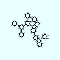 c1ccc(-c2nc(-c3ccccc3)nc(-c3cc(-n4c5ccccc5c5cc(-c6ccc7c8ccccc8n(-c8ccccc8)c7c6)ccc54)c4c5ccccc5c5ccccc5c4c3)n2)cc1